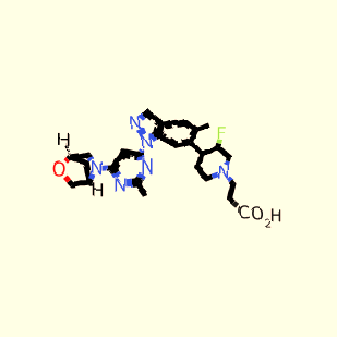 Cc1nc(N2C[C@H]3C[C@@H]2CO3)cc(-n2ncc3cc(C)c(C4CCN(CCC(=O)O)CC4F)cc32)n1